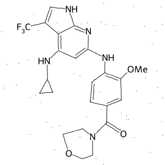 COc1cc(C(=O)N2CCOCC2)ccc1Nc1cc(NC2CC2)c2c(C(F)(F)F)c[nH]c2n1